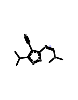 CC(C)c1nsc(/N=C\N(C)C)c1C#N